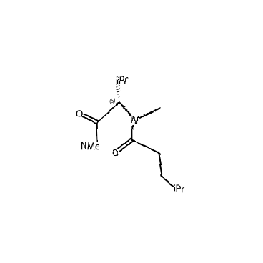 CNC(=O)[C@H](C(C)C)N(C)C(=O)CCC(C)C